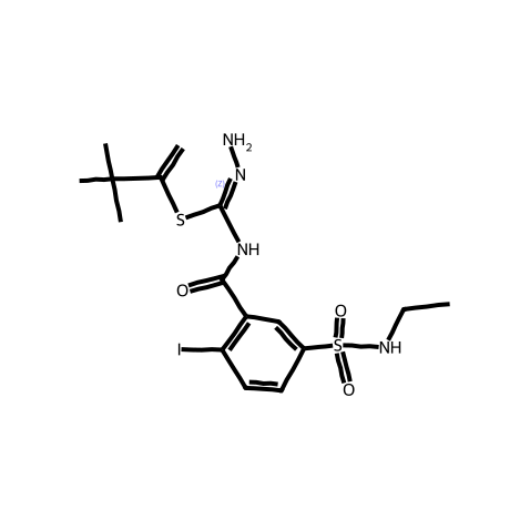 C=C(S/C(=N\N)NC(=O)c1cc(S(=O)(=O)NCC)ccc1I)C(C)(C)C